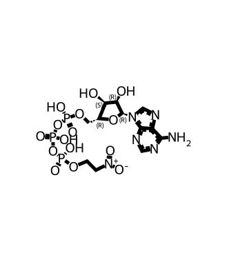 Nc1ncnc2c1ncn2[C@@H]1O[C@H](COP(=O)(O)OP(=O)(O)OP(=O)(O)OCC[N+](=O)[O-])[C@@H](O)[C@H]1O